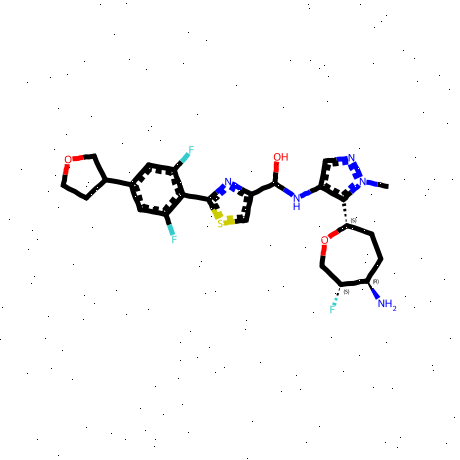 Cn1ncc(NC(O)c2csc(-c3c(F)cc(C4CCOC4)cc3F)n2)c1[C@@H]1CC[C@@H](N)[C@H](F)CO1